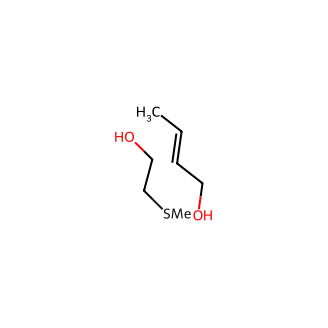 CC=CCO.CSCCO